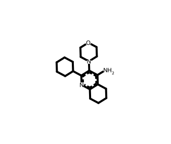 Nc1c2c(nc(C3CCCCC3)c1N1CCOCC1)CCCC2